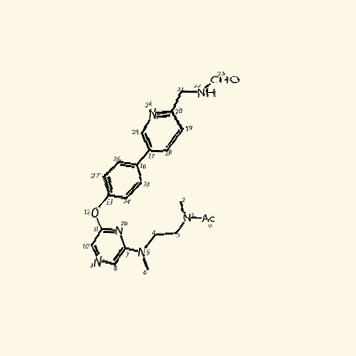 CC(=O)N(C)CCN(C)c1cncc(Oc2ccc(-c3ccc(CNC=O)nc3)cc2)n1